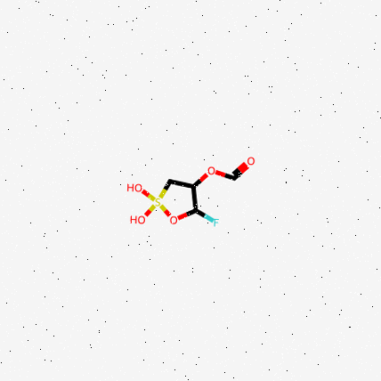 O=COC1CS(O)(O)OC1F